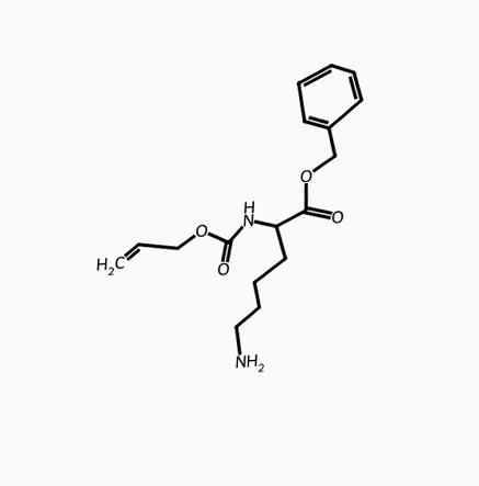 C=CCOC(=O)NC(CCCCN)C(=O)OCc1ccccc1